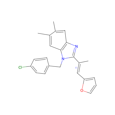 C/C(=C\c1ccco1)c1nc2cc(C)c(C)cc2n1Cc1ccc(Cl)cc1